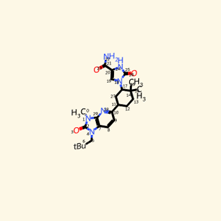 Cn1c(=O)n(CC(C)(C)C)c2ccc(C3CCC(C)(C)C(n4cc(C(N)=O)[nH]c4=O)C3)nc21